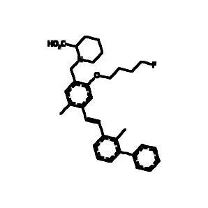 Cc1cc(CN2CCCCC2C(=O)O)c(OCCCCF)cc1C=Cc1cccc(-c2ccccc2)c1C